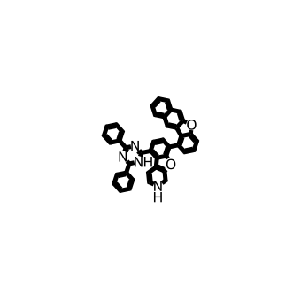 C1=Cc2c(oc3c(-c4cccc5oc6cc7ccccc7cc6c45)ccc(C4=NC(c5ccccc5)=NC(c5ccccc5)N4)c23)CN1